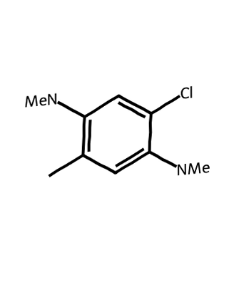 CNc1cc(Cl)c(NC)cc1C